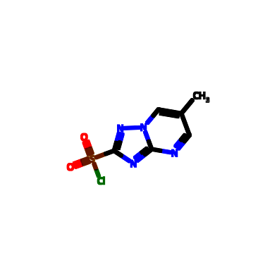 Cc1cnc2nc(S(=O)(=O)Cl)nn2c1